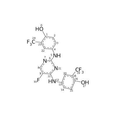 Oc1ccc(Nc2ncc(F)c(Nc3ccc(O)c(C(F)(F)F)c3)n2)cc1C(F)(F)F